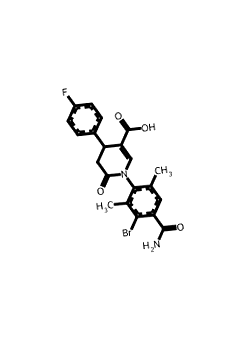 Cc1cc(C(N)=O)c(Br)c(C)c1N1C=C(C(=O)O)C(c2ccc(F)cc2)CC1=O